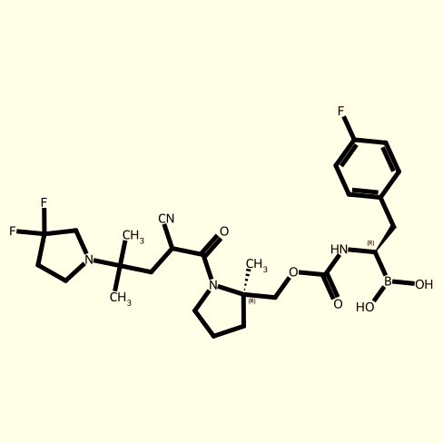 CC(C)(CC(C#N)C(=O)N1CCC[C@]1(C)COC(=O)N[C@@H](Cc1ccc(F)cc1)B(O)O)N1CCC(F)(F)C1